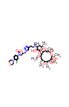 CC[C@H]1OC(=O)[C@H](C)C(=O)[C@H](C)/C(O[C@@H]2O[C@H](C)C[C@H](N(C)CCc3cn(C[C@H]4CN(c5ccc(N6CCOCC6)c(F)c5)C(=O)O4)nn3)[C@H]2O)=C(/OC)C[C@@H](C)C(=O)[C@H](C)[C@@H](O)[C@]1(C)O